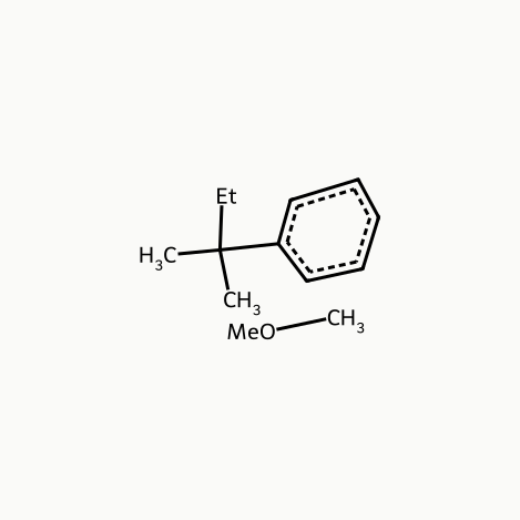 CCC(C)(C)c1ccccc1.COC